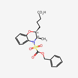 C[C@@H]1[C@H](CCCC(=O)O)Oc2ccccc2N1S(=O)(=O)C(=O)OCc1ccccc1